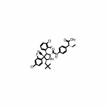 CC[C@@H](C(=O)O)c1ccc(NC(=O)[C@@H]2N[C@@H](CC(C)(C)C)[C@](C#N)(c3ccc(Cl)cc3F)[C@H]2c2cccc(Cl)c2F)cc1